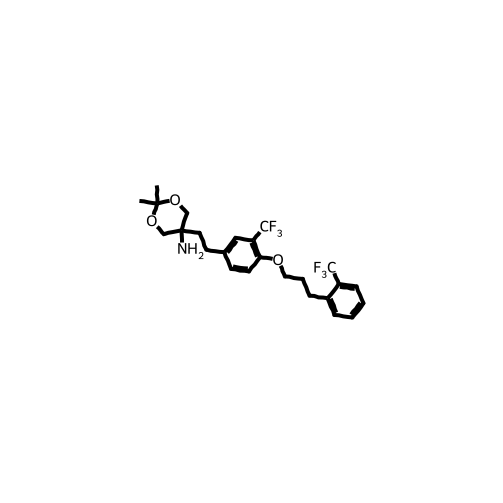 CC1(C)OCC(N)(CCc2ccc(OCCCc3ccccc3C(F)(F)F)c(C(F)(F)F)c2)CO1